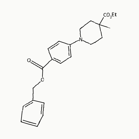 CCOC(=O)C1(C)CCN(c2ccc(C(=O)OCc3ccccc3)cc2)CC1